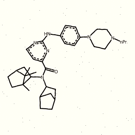 CCCN1CCN(c2ccc(Nc3nccc(C(=O)N(C4CC5CCC4C5)C4CC5CCC4(C)C5(C)C)n3)cc2)CC1